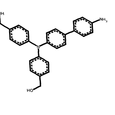 Nc1ccc(-c2ccc(N(c3ccc(CO)cc3)c3ccc(CO)cc3)cc2)cc1